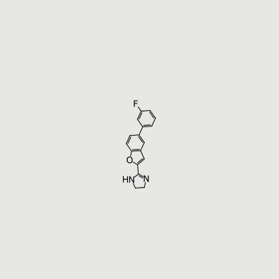 Fc1cccc(-c2ccc3oc(C4=NCCN4)cc3c2)c1